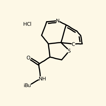 CCC(C)NC(=O)C1CSC23CC=CC=C2N=CCC13.Cl